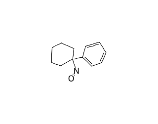 O=NC1(c2ccccc2)CCCCC1